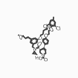 COCCCc1cc(CN(C(=O)[C@H]2CN(C(=O)O)CC[C@@H]2c2ccc(OCCOc3c(Cl)cc(C)cc3Cl)cc2)C2CC2)cc(OCCCC#N)c1